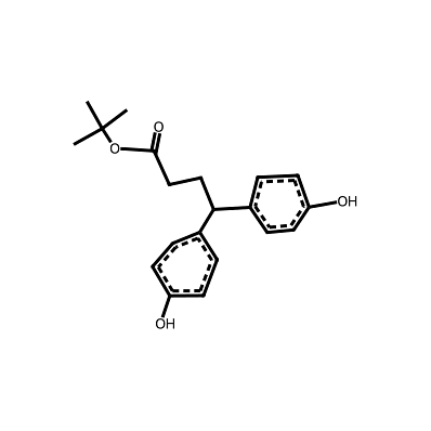 CC(C)(C)OC(=O)CCC(c1ccc(O)cc1)c1ccc(O)cc1